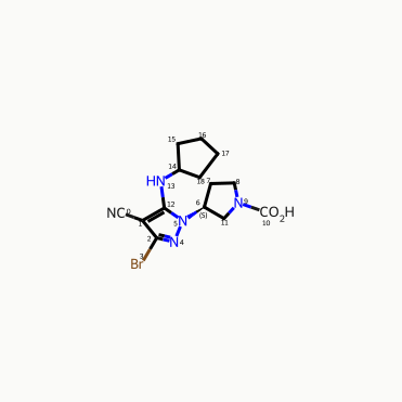 N#Cc1c(Br)nn([C@H]2CCN(C(=O)O)C2)c1NC1CCCC1